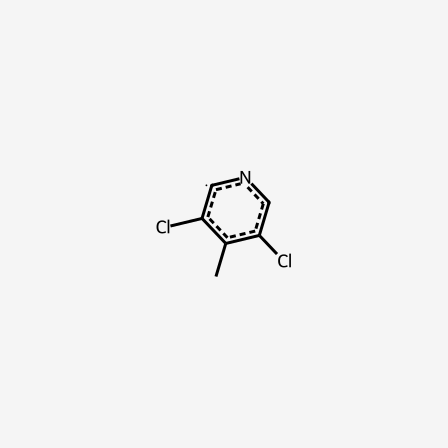 Cc1c(Cl)[c]ncc1Cl